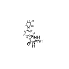 CC1CCN(c2cccc([C@]3(C)CC(=O)NC(=N)N3)c2)C1